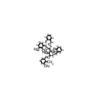 Cc1c(O)cccc1CO[C@H](COCc1ccccc1F)[C@@H](O)[C@H](O)[C@@H](COCc1ccccc1F)OCc1cccc(O)c1C